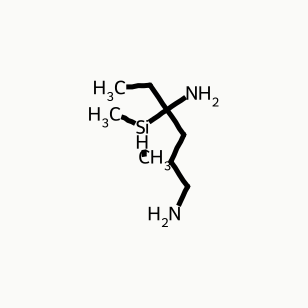 CCC(N)(CCCN)[SiH](C)C